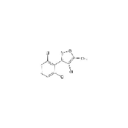 Cc1onc(-c2c(Cl)cccc2Cl)c1Cl